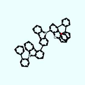 c1ccc(-c2ccccc2-c2ccc(-n3c4ccccc4c4cc(-c5cccc6c5c5ccccc5n6-c5ccccc5-c5ccccc5)ccc43)c3oc4ccccc4c23)cc1